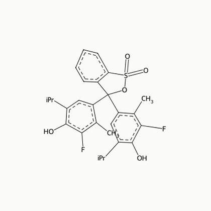 Cc1c(C2(c3cc(C(C)C)c(O)c(F)c3C)OS(=O)(=O)c3ccccc32)cc(C(C)C)c(O)c1F